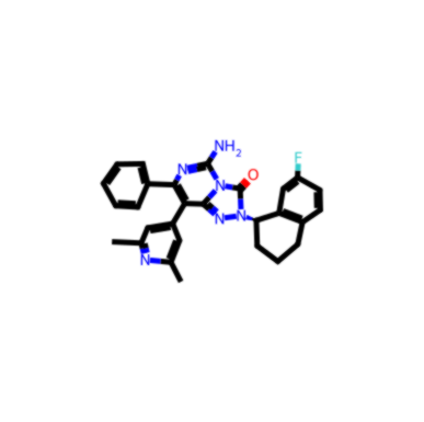 Cc1cc(-c2c(-c3ccccc3)nc(N)n3c(=O)n([C@@H]4CCCc5ccc(F)cc54)nc23)cc(C)n1